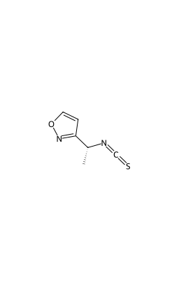 C[C@@H](N=C=S)c1ccon1